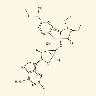 CCOC(=O)C(Cc1ccc(C(O)OC)cc1)(OC1[C@H]2O[C@@H](n3cnc4c(N)nc(Cl)nc43)[C@@H](F)[C@@]12O)C(=O)OCC